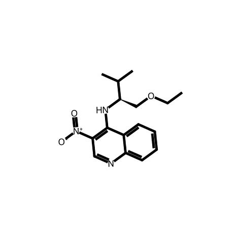 CCOC[C@@H](Nc1c([N+](=O)[O-])cnc2ccccc12)C(C)C